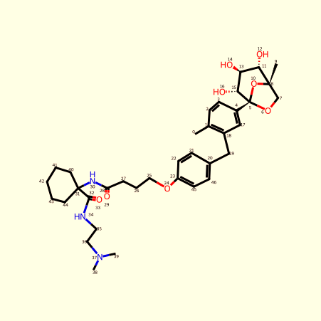 Cc1ccc([C@]23OC[C@](C)(O2)[C@@H](O)[C@H](O)[C@H]3O)cc1Cc1ccc(OCCCC(=O)NC2(C(=O)NCCN(C)C)CCCCC2)cc1